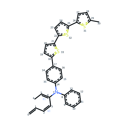 C=C/C=C\C(=C/C)N(c1ccccc1)c1ccc(-c2ccc(-c3ccc(-c4ccc(C)s4)s3)s2)cc1